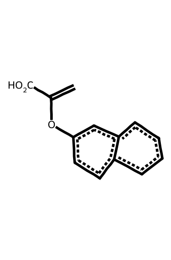 C=C(Oc1ccc2ccccc2c1)C(=O)O